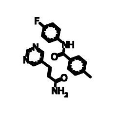 Cc1ccc(C(=O)Nc2ccc(F)cc2)cc1.NC(=O)C=Cc1cncnc1